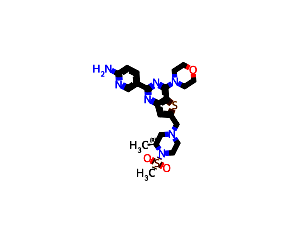 C[C@@H]1CN(Cc2cc3nc(-c4ccc(N)nc4)nc(N4CCOCC4)c3s2)CCN1S(C)(=O)=O